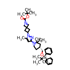 Cc1cc(N2CC[C@@H](CO[Si](c3ccccc3)(c3ccccc3)C(C)(C)C)CC2(C)C)nn1C1CC2(C1)CN(C(=O)OC(C)(C)C)C2